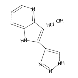 Cl.Cl.c1cnc2cc(-c3c[nH]nn3)[nH]c2c1